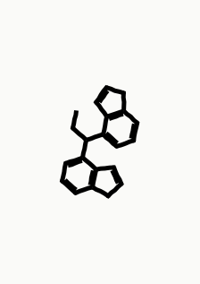 CCC(c1cccc2c1C=CC2)c1cccc2c1C=CC2